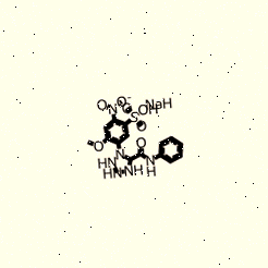 COc1cc([N+](=O)[O-])c(S(=O)(=O)O)cc1N1NNNC1C(=O)Nc1ccccc1.[NaH]